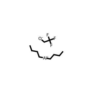 CCC[CH2][Al+][CH2]CCC.[O-]CC(F)(F)F